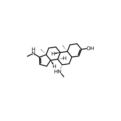 CNC1=CC[C@H]2[C@@H]3[C@@H](NC)CC4C=C(O)CC[C@]4(C)[C@H]3CC[C@]12C